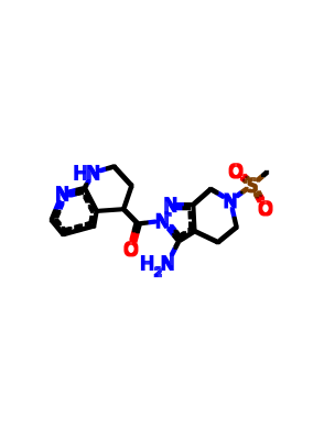 CS(=O)(=O)N1CCc2c(nn(C(=O)C3CCNc4ncccc43)c2N)C1